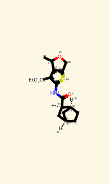 CCOC(=O)c1c(NC(=O)[C@]2(C)C[C@@H]3CC[C@H]2C3)sc2c1C(C)OC2